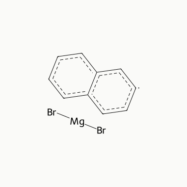 [Br][Mg][Br].[c]1ccc2ccccc2c1